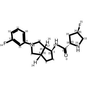 O=C(N[C@H]1CC[C@@H]2CN(c3cccc(F)c3)C[C@@H]21)[C@@H]1C[C@@H](F)CN1